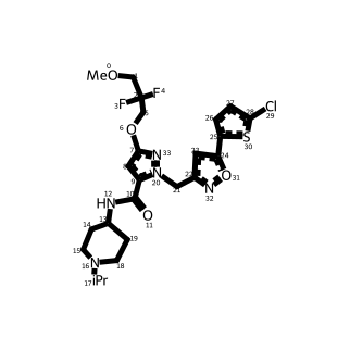 COCC(F)(F)COc1cc(C(=O)NC2CCN(C(C)C)CC2)n(Cc2cc(-c3ccc(Cl)s3)on2)n1